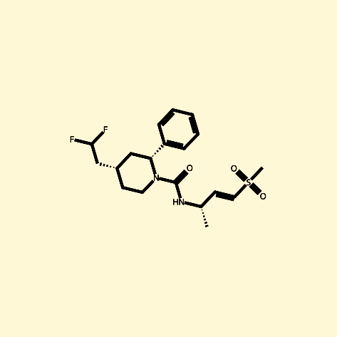 C[C@@H](/C=C/S(C)(=O)=O)NC(=O)N1CC[C@H](CC(F)F)C[C@@H]1c1ccccc1